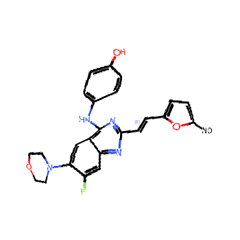 O=Nc1ccc(/C=C/c2nc(Nc3ccc(O)cc3)c3cc(N4CCOCC4)c(F)cc3n2)o1